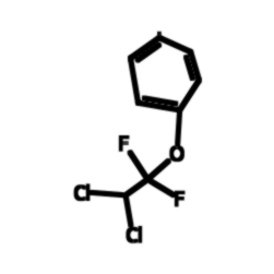 FC(F)(Oc1cc[c]cc1)C(Cl)Cl